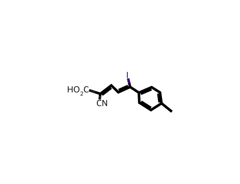 Cc1ccc(/C(I)=C/C=C(\C#N)C(=O)O)cc1